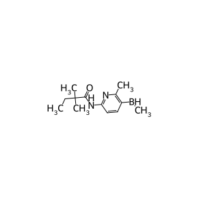 CBc1ccc(NC(=O)C(C)(C)CC)nc1C